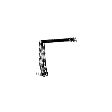 OB(O)O.OB(O)O.[LiH].[LiH].[LiH].[LiH].[LiH].[LiH].[LiH].[LiH].[LiH].[LiH].[LiH].[LiH].[LiH].[LiH].[LiH].[LiH].[LiH].[LiH].[LiH].[LiH].[LiH].[LiH].[LiH].[LiH].[LiH].[LiH].[LiH].[LiH].[LiH].[LiH].[LiH].[LiH].[LiH].[LiH].[LiH].[LiH].[LiH].[LiH].[LiH].[LiH].[LiH].[LiH].[LiH].[LiH].[LiH].[LiH].[LiH].[LiH].[LiH].[LiH].[LiH].[LiH].[LiH].[LiH].[LiH].[LiH].[LiH].[LiH].[LiH].[LiH].[LiH].[LiH].[LiH]